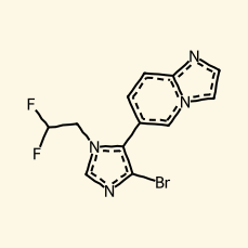 FC(F)Cn1cnc(Br)c1-c1ccc2nccn2c1